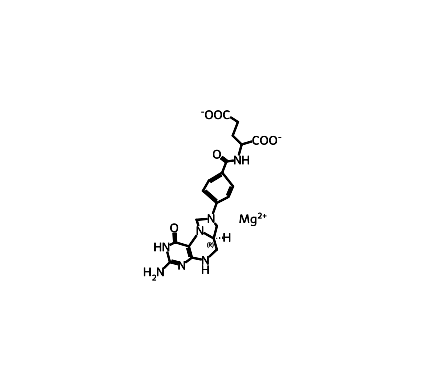 Nc1nc2c(c(=O)[nH]1)N1CN(c3ccc(C(=O)NC(CCC(=O)[O-])C(=O)[O-])cc3)C[C@H]1CN2.[Mg+2]